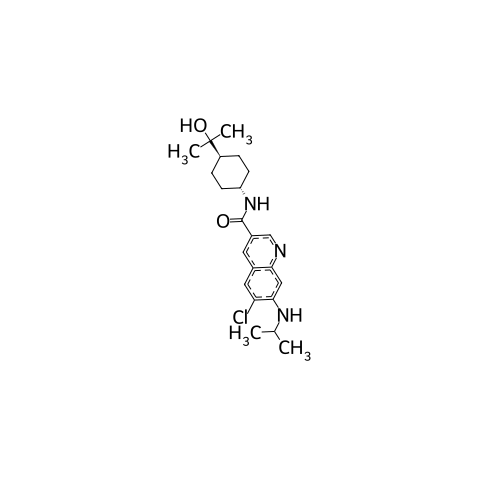 CC(C)Nc1cc2ncc(C(=O)N[C@H]3CC[C@H](C(C)(C)O)CC3)cc2cc1Cl